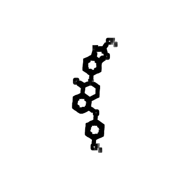 O=C1c2cccc(Oc3ccc(C(F)(F)F)cc3)c2CCN1c1ccc2nc(C(F)(F)F)oc2c1